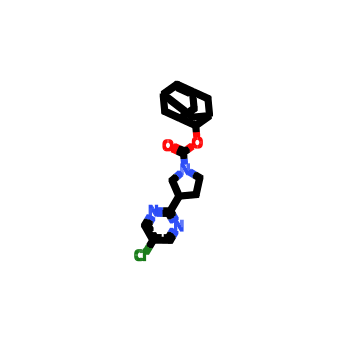 O=C(OC1C2CC3=CC(C2)CC1C3)N1CCC(c2ncc(Cl)cn2)C1